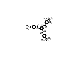 CC(C)[C@H]1CC[C@@H](C(=O)Nc2cc(NC(=O)[C@H]3CC[C@H](C(C)(C)C)CC3)cc(NC(=O)[C@H]3CC[C@H](C(C)(C)C)CC3)c2)CC1